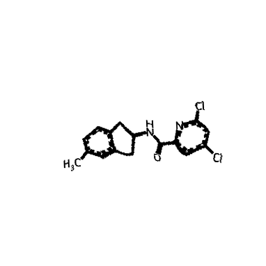 Cc1ccc2c(c1)CC(NC(=O)c1cc(Cl)cc(Cl)n1)C2